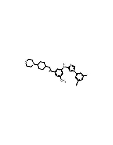 Cc1cc(NCC2CCC(N3CCOCC3)CC2)cc(Nc2ncn(-c3cc(F)cc(F)c3)n2)c1